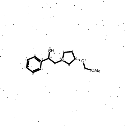 COCO[C@H]1CCN(CC(N)c2ccccc2)C1